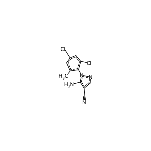 Cc1cc(Cl)cc(Cl)c1-n1ncc(C#N)c1N